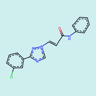 O=C(C=Cn1cnc(-c2cccc(Cl)c2)n1)Nc1ccccc1